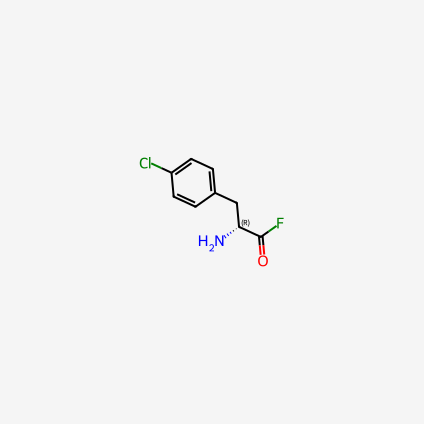 N[C@H](Cc1ccc(Cl)cc1)C(=O)F